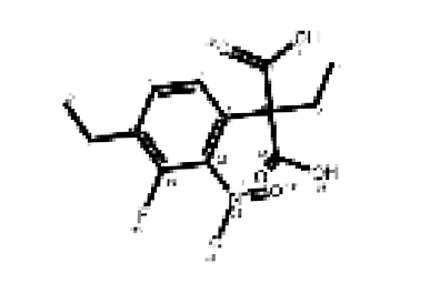 CCc1ccc(C(CC)(C(=O)O)C(=O)O)c([N+](=O)[O-])c1F